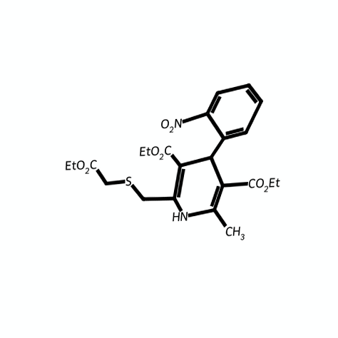 CCOC(=O)CSCC1=C(C(=O)OCC)C(c2ccccc2[N+](=O)[O-])C(C(=O)OCC)=C(C)N1